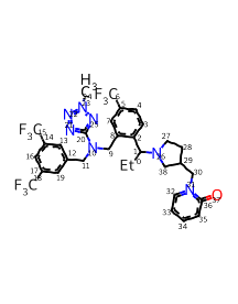 CCC(c1ccc(C(F)(F)F)cc1CN(Cc1cc(C(F)(F)F)cc(C(F)(F)F)c1)c1nnn(C)n1)N1CCC(Cn2ccccc2=O)C1